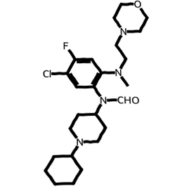 CN(CCN1CCOCC1)c1cc(F)c(Cl)cc1N(C=O)C1CCN(C2CCCCC2)CC1